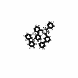 c1ccc(-c2cccc(-c3nc(-c4ccccc4)nc(-c4cccc5oc6c(-n7c8ccccc8c8ccccc87)cccc6c45)n3)c2)cc1